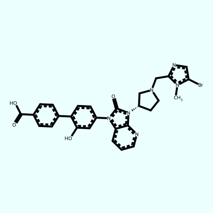 Cn1c(Br)cnc1CN1CC[C@H](n2c(=O)n(-c3ccc(-c4ccc(C(=O)O)cc4)c(O)c3)c3cccnc32)C1